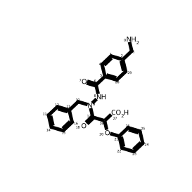 NCc1ccc(C(=O)NN(Cc2ccccc2)C(=O)C(Oc2ccccc2)C(=O)O)cc1